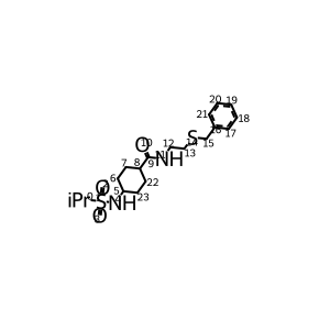 CC(C)S(=O)(=O)NC1CCC(C(=O)NCCSCc2ccccc2)CC1